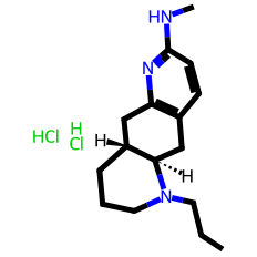 CCCN1CCC[C@@H]2Cc3nc(NC)ccc3C[C@H]21.Cl.Cl